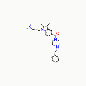 Cc1c(C)n(CCCN(C)C)c2ccc(C(=O)N3CCN(CCc4ccccc4)CC3)cc12